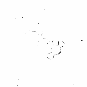 CCOC(C)(C)CCC(=O)NCCC(=O)N1Cc2ccccc2C#Cc2ccccc21